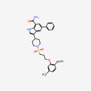 CC(=O)Nc1ccc(C)cc1OCCCS(=O)(=O)N1CCC(c2c[nH]c3c(C(N)=O)cc(-c4ccccc4)cc23)CC1